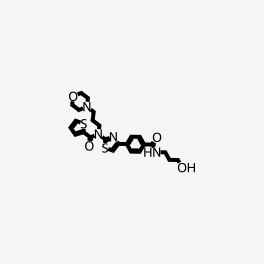 O=C(NCCCO)c1ccc(-c2csc(N(CCCN3CCOCC3)C(=O)c3cccs3)n2)cc1